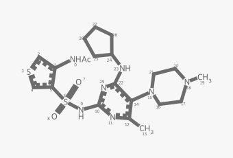 CC(=O)Nc1cscc1S(=O)(=O)Nc1nc(C)c(N2CCN(C)CC2)c(NC2CCCC2)n1